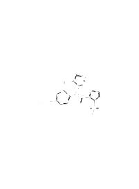 COc1ccc(N(C(=O)c2sccc2S(N)(=O)=O)c2onc(C)c2Br)cc1